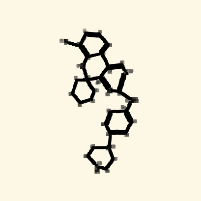 Fc1cccc2c1OC1(CCCCC1)c1nc(Nc3ccc(N4CCNCC4)cc3)ncc1-2